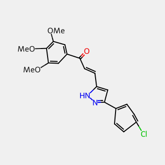 COc1cc(C(=O)C=Cc2cc(-c3ccc(Cl)cc3)n[nH]2)cc(OC)c1OC